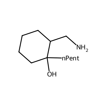 CCCCCC1(O)CCCCC1CN